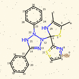 Br.CC1=C(C)SC(c2nccs2)(N2N=C(c3ccccc3)NN2c2ccccc2)N1